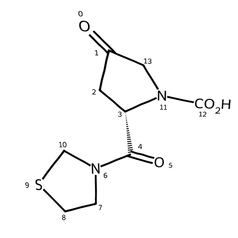 O=C1C[C@@H](C(=O)N2CCSC2)N(C(=O)O)C1